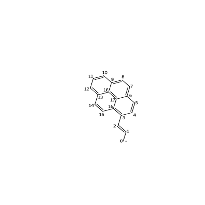 [CH2]C=Cc1ccc2ccc3cccc4ccc1c2c34